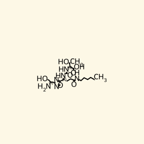 CCCCCCNC(=O)CC[C@@H](NC(=O)N[C@H](C(=O)O)C(C)O)c1nc([C@@H](N)CO)no1